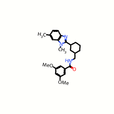 COc1cc(OC)cc(C(=O)NCC2CCCC(c3nc4ccc(C)cc4n3C)C2)c1